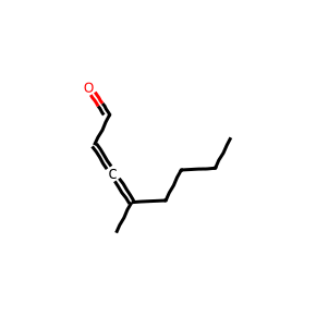 CCCCC(C)=C=CC=O